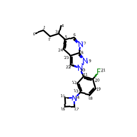 CCCC(C)c1cnc2nn(-c3cc(N4CCC4)ccc3F)cc2c1